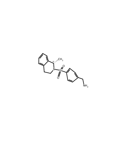 C[C@H]1c2ccccc2CCN1S(=O)(=O)c1ccc(CN)cc1